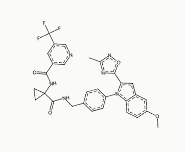 COc1ccc2c(c1)cc(-c1nc(C)no1)n2-c1ccc(CNC(=O)C2(NC(=O)c3cncc(C(F)(F)F)c3)CC2)cc1